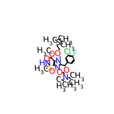 COC(=O)c1c(S(C)(=N)=O)nc(C(OC(=O)N(C(C)C)C(C)C)c2ccc(F)c(Cl)c2)n1COCC[Si](C)(C)C